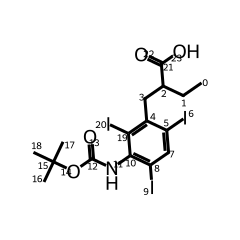 CCC(Cc1c(I)cc(I)c(NC(=O)OC(C)(C)C)c1I)C(=O)O